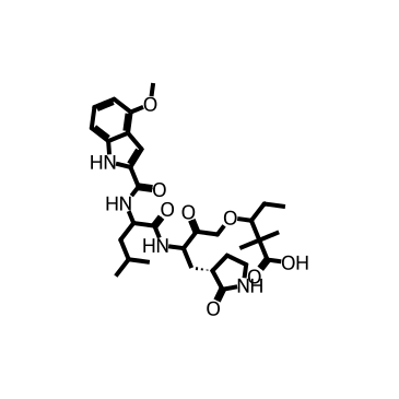 CCC(OCC(=O)C(C[C@@H]1CCNC1=O)NC(=O)C(CC(C)C)NC(=O)c1cc2c(OC)cccc2[nH]1)C(C)(C)C(=O)O